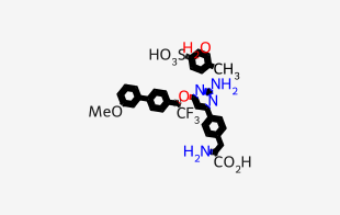 COc1cccc(-c2ccc([C@@H](Oc3cc(-c4ccc(C[C@H](N)C(=O)O)cc4)nc(N)n3)C(F)(F)F)cc2)c1.Cc1ccc(S(=O)(=O)O)cc1.O